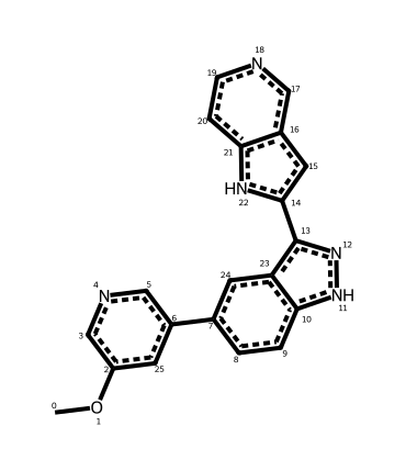 COc1cncc(-c2ccc3[nH]nc(-c4cc5cnccc5[nH]4)c3c2)c1